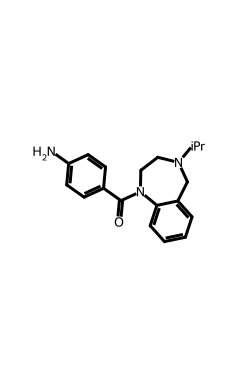 CC(C)N1CCN(C(=O)c2ccc(N)cc2)c2ccccc2C1